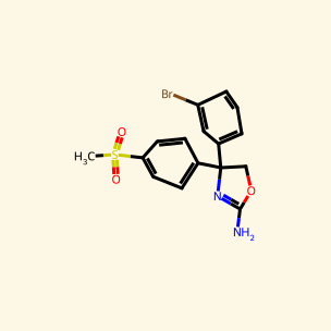 CS(=O)(=O)c1ccc(C2(c3cccc(Br)c3)COC(N)=N2)cc1